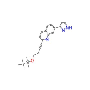 CC(C)(C)[Si](C)(C)OCCC#Cc1ccc2ccc(-c3cc[nH]n3)cc2n1